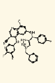 N#Cc1cnc2c(Cl)cc(NC(C3=CN(Cc4ccccc4)NN3)c3ccc(F)cc3)cc2c1Nc1cnc(F)c(F)c1